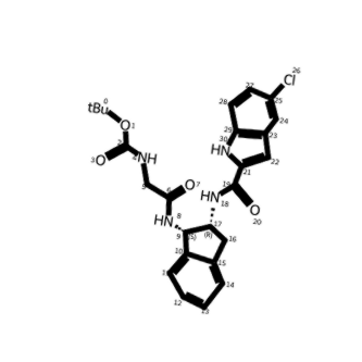 CC(C)(C)OC(=O)NCC(=O)N[C@H]1c2ccccc2C[C@H]1NC(=O)c1cc2cc(Cl)ccc2[nH]1